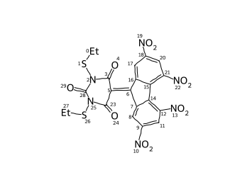 CCSN1C(=O)C(=C2c3cc([N+](=O)[O-])cc([N+](=O)[O-])c3-c3c2cc([N+](=O)[O-])cc3[N+](=O)[O-])C(=O)N(SCC)C1=O